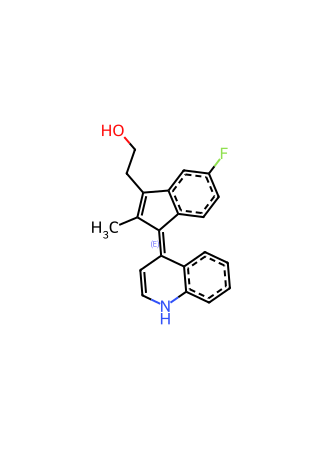 CC1=C(CCO)c2cc(F)ccc2/C1=C1/C=CNc2ccccc21